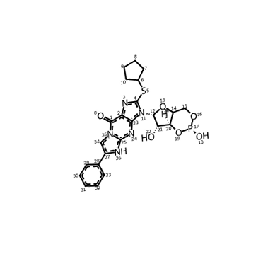 O=c1c2nc(SC3CCCC3)n([C@@H]3OC4CO[P@@](O)O[C@H]4[C@@H]3O)c2nc2[nH]c(-c3ccccc3)cn12